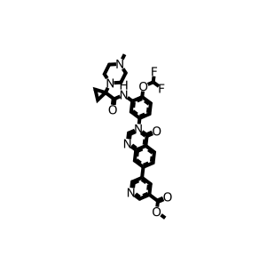 COC(=O)c1cncc(-c2ccc3c(=O)n(-c4ccc(OC(F)F)c(NC(=O)C5(N6CCN(C)CC6)CC5)c4)cnc3c2)c1